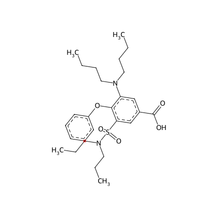 CCCCN(CCCC)c1cc(C(=O)O)cc(S(=O)(=O)N(CCC)CCC)c1Oc1ccccc1